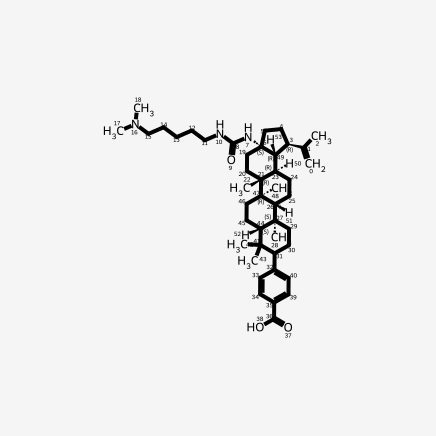 C=C(C)[C@@H]1CC[C@]2(NC(=O)NCCCCCN(C)C)CC[C@]3(C)[C@H](CC[C@@H]4[C@@]5(C)CCC(c6ccc(C(=O)O)cc6)C(C)(C)[C@@H]5CC[C@]43C)[C@@H]12